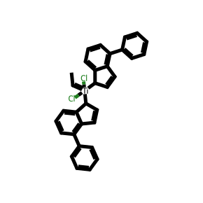 C[CH]=[Ti]([Cl])([Cl])([CH]1C=Cc2c(-c3ccccc3)cccc21)[CH]1C=Cc2c(-c3ccccc3)cccc21